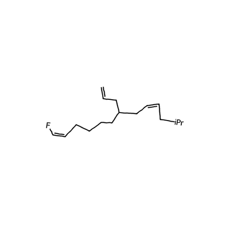 C=CCC(C/C=C\CC(C)C)CCCC/C=C\F